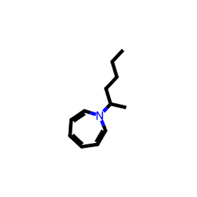 CCCCC(C)N1C=CC=CC=C1